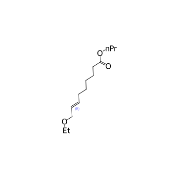 CCCOC(=O)CCCCC/C=C/COCC